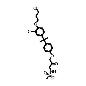 CC(C)(c1ccc(OCC(=O)CNS(C)(=O)=O)cc1)c1ccc(OCCCCl)c(Cl)c1